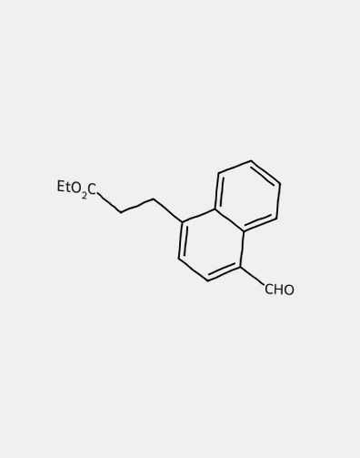 CCOC(=O)CCc1ccc(C=O)c2ccccc12